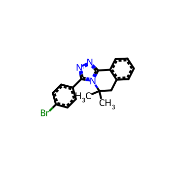 CC1(C)Cc2ccccc2-c2nnc(-c3ccc(Br)cc3)n21